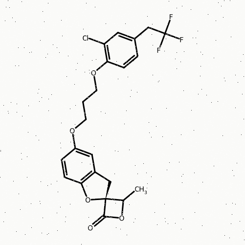 CC1OC(=O)[C@@]12Cc1cc(OCCCOc3ccc(CC(F)(F)F)cc3Cl)ccc1O2